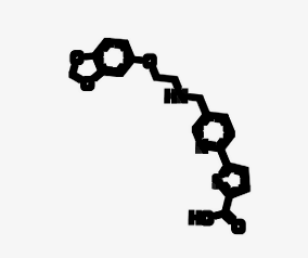 O=C(O)c1ccc(-c2ccc(CNCCOc3ccc4c(c3)OCO4)cn2)s1